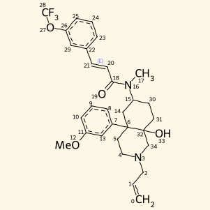 C=CCN1CCC2(c3cccc(OC)c3)CC(N(C)C(=O)/C=C/c3cccc(OC(F)(F)F)c3)CCC2(O)C1